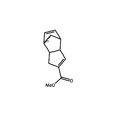 COC(=O)C1=CC2C3C=CC4(CC34)C2C1